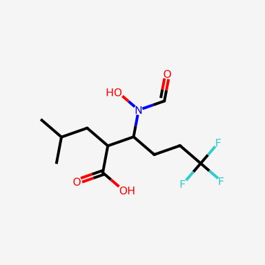 CC(C)CC(C(=O)O)C(CCC(F)(F)F)N(O)C=O